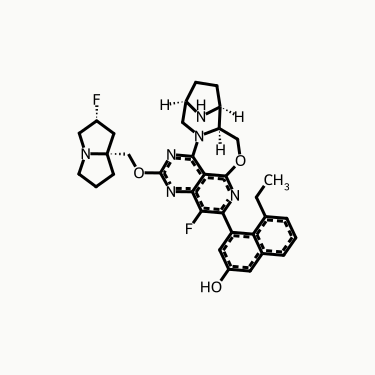 CCc1cccc2cc(O)cc(-c3nc4c5c(nc(OC[C@]67CCCN6C[C@H](F)C7)nc5c3F)N3C[C@H]5CC[C@H](N5)[C@H]3CO4)c12